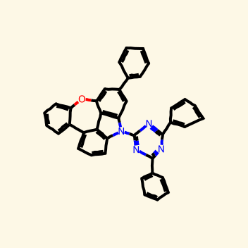 c1ccc(-c2cc3oc4ccccc4c4cccc5c4c3c(c2)n5-c2nc(-c3ccccc3)nc(-c3ccccc3)n2)cc1